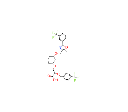 Cc1oc(-c2cccc(C(F)(F)F)c2)nc1CO[C@H]1CCC[C@@H](OC[C@@H](OCc2ccc(C(F)(F)F)cc2)C(=O)O)C1